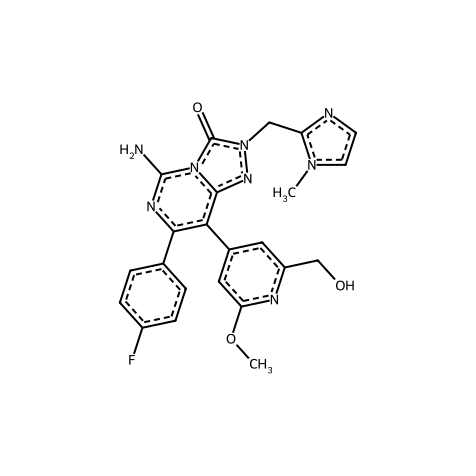 COc1cc(-c2c(-c3ccc(F)cc3)nc(N)n3c(=O)n(Cc4nccn4C)nc23)cc(CO)n1